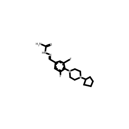 NC(=S)NN=Cc1cc(F)c(N2CCN(C3CCCC3)CC2)c(F)c1